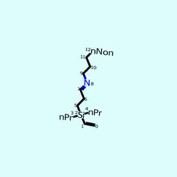 C=C[Si](CCC)(CCC)CCC=NCCCCCCCCCCCC